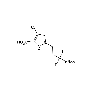 CCCCCCCCCC(F)(F)CCc1cc(Cl)c(C(=O)O)[nH]1